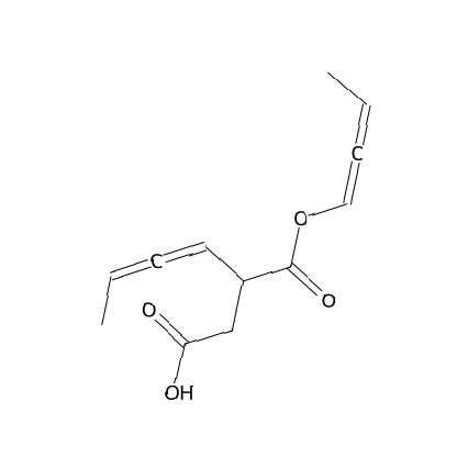 CC=C=COC(=O)C(C=C=CC)CC(=O)O